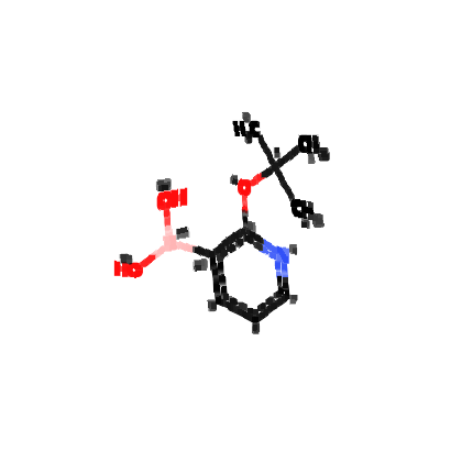 CC(C)(C)Oc1ncccc1B(O)O